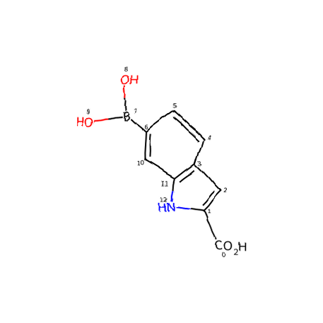 O=C(O)c1cc2ccc(B(O)O)cc2[nH]1